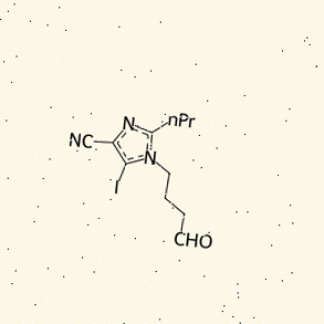 CCCc1nc(C#N)c(I)n1CCCC=O